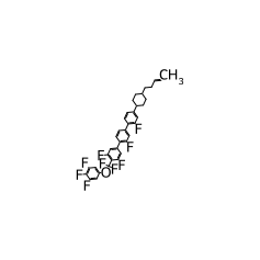 C/C=C/CCC1CCC(c2ccc(-c3ccc(-c4cc(F)c(C(F)(F)Oc5cc(F)c(F)c(F)c5)c(F)c4)c(F)c3)c(F)c2)CC1